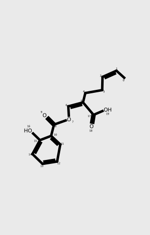 C/C=C\CC/C(=C/OC(=O)c1ccccc1O)C(=O)O